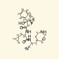 N#CC(CC1CCNCOC1)NC(=O)C(CC1CC1)NC(=O)CC(O)(c1ccccc1)C(F)(F)F